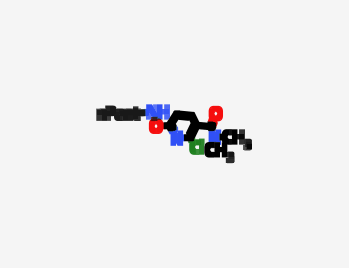 CCCCCNOc1ccc(C(=O)N(C)C)c(Cl)n1